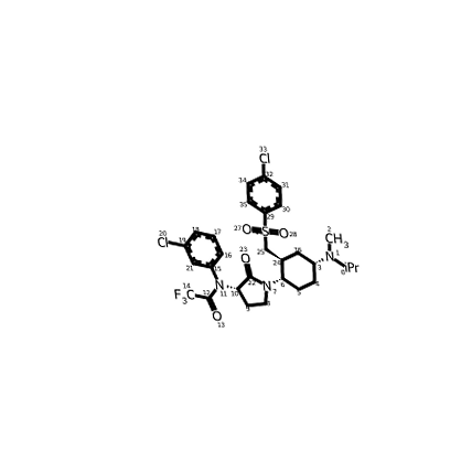 CC(C)N(C)[C@@H]1CC[C@H](N2CC[C@H](N(C(=O)C(F)(F)F)c3cccc(Cl)c3)C2=O)[C@@H](CS(=O)(=O)c2ccc(Cl)cc2)C1